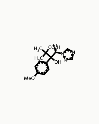 CCC(n1cncn1)C(O)(c1ccc(OC)cc1)C(C)(C)C(=O)O